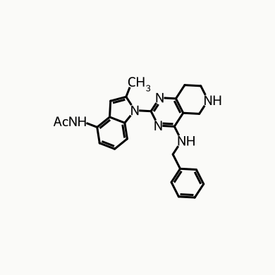 CC(=O)Nc1cccc2c1cc(C)n2-c1nc2c(c(NCc3ccccc3)n1)CNCC2